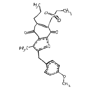 CCCC1=C(S(=O)(=O)CC)C(=O)c2oc(Cc3ccc(OC)cc3)c(C)c2C1=O